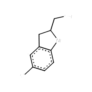 OCC1Cc2cc(Cl)ccc2N1